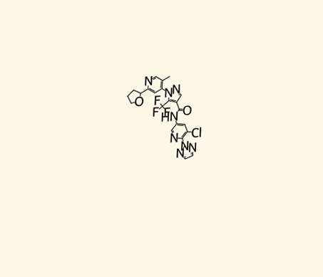 Cc1cnc(C2CCCO2)cc1-n1ncc(C(=O)Nc2cnc(-n3nccn3)c(Cl)c2)c1C(F)(F)F